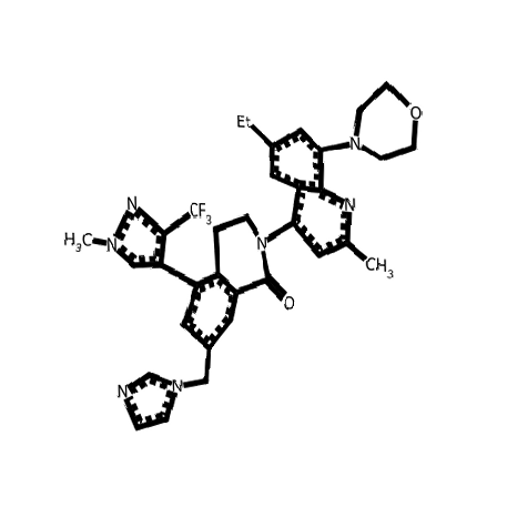 CCc1cc(N2CCOCC2)c2nc(C)cc(N3CCc4c(cc(Cn5ccnc5)cc4-c4cn(C)nc4C(F)(F)F)C3=O)c2c1